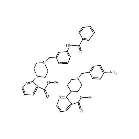 CC(C)OC(=O)c1cccnc1N1CCN(Cc2ccc(N)cc2)CC1.CC(C)OC(=O)c1cccnc1N1CCN(Cc2cccc(NC(=O)c3ccccc3)c2)CC1